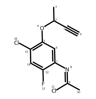 C#CC(C)Oc1cc(N=C(C)Cl)c(F)cc1Cl